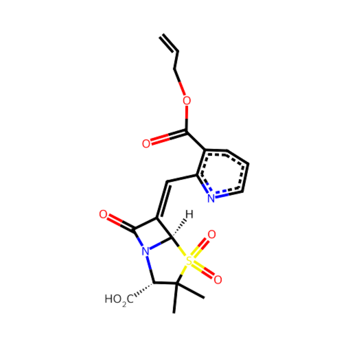 C=CCOC(=O)c1cccnc1/C=C1/C(=O)N2[C@@H](C(=O)O)C(C)(C)S(=O)(=O)[C@H]12